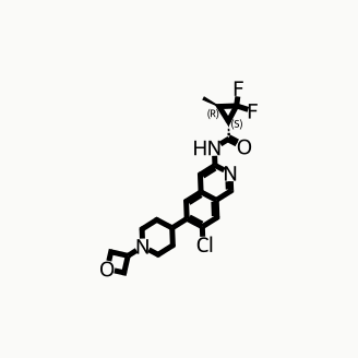 C[C@@H]1[C@@H](C(=O)Nc2cc3cc(C4CCN(C5COC5)CC4)c(Cl)cc3cn2)C1(F)F